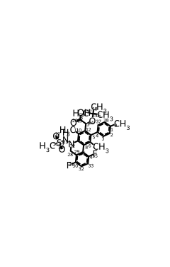 Cc1ccc(-c2c(C)c3c(c(C)c2[C@H](OC(C)(C)C)C(=O)O)N(NS(C)(=O)=O)Cc2c(F)ccc(F)c2-3)cc1